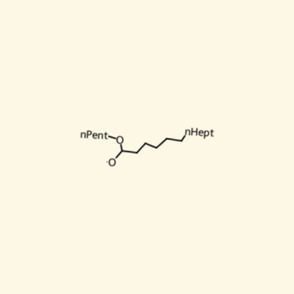 CCCCCCCCCCCCC([O])OCCCCC